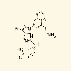 C[C@]1(C(=O)O)CC[C@@H](Nc2ncc3c(Br)nn(-c4cc(CCN)c5ncccc5c4)c3n2)C1